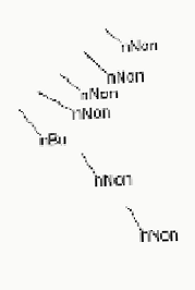 CCCCC.CCCCCCCCCC.CCCCCCCCCC.CCCCCCCCCC.CCCCCCCCCC.CCCCCCCCCC.CCCCCCCCCC